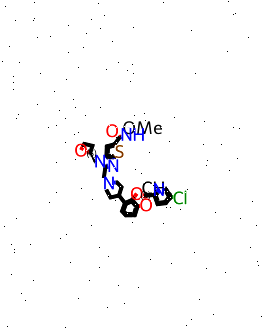 CONC(=O)c1cc2c(nc(CN3CCC(c4cccc5c4O[C@@](C)(c4ccc(Cl)cn4)O5)CC3)n2C[C@@H]2CCO2)s1